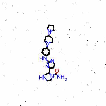 NC(=O)N1CCNCC1c1ccnc(Nc2ccc(N3CCC(N4CCCC4)CC3)cc2)n1